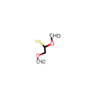 O=COCC(S)OC=O